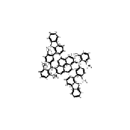 Cc1ccc(N(c2c(C)cccc2C)c2ccc3ccc4c(N(c5ccc(C)c(-c6cccc7c6sc6ccccc67)c5)c5c(C)cccc5C)ccc5ccc2c3c54)cc1-c1cccc2c1sc1ccccc12